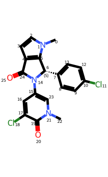 Cn1ccc2c1[C@H](c1ccc(Cl)cc1)N(c1cc(Cl)c(=O)n(C)c1)C2=O